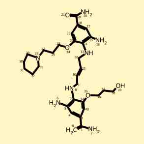 C=C(N)c1cc(N)c(NC/C=C/CNc2c(N)cc(C(N)=O)cc2OCCCN2CCCCC2)c(OCCCO)c1